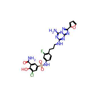 NC(=O)c1cc(S(=O)(=O)Nc2ccc(CCCNc3nc(N)n4nc(-c5ccco5)nc4n3)c(F)c2)cc(Cl)c1O